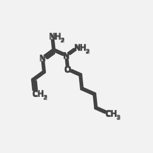 C=CCN=C(N)N(N)OCCCCC